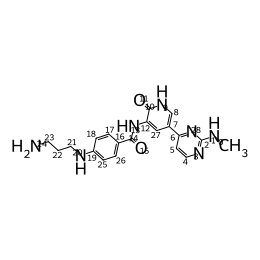 CNc1nccc(-c2c[nH]c(=O)c(NC(=O)c3ccc(NCCCN)cc3)c2)n1